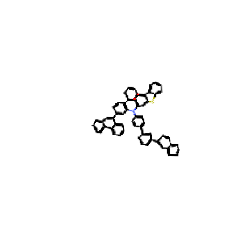 c1ccc(-c2ccc(-c3cc4ccccc4c4ccccc34)cc2N(c2ccc(-c3cccc(-c4ccc5ccccc5c4)c3)cc2)c2ccc3c(c2)sc2ccccc23)cc1